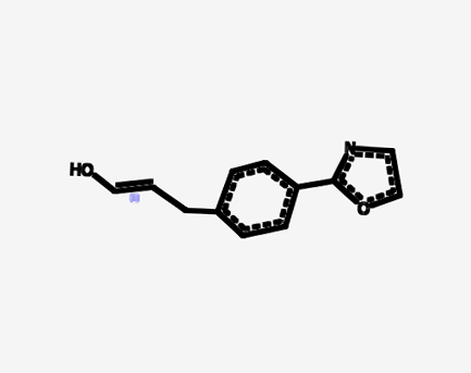 O/C=C/Cc1ccc(-c2ncco2)cc1